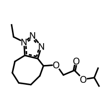 CCn1nnc2c1CCCCCC2OCC(=O)OC(C)C